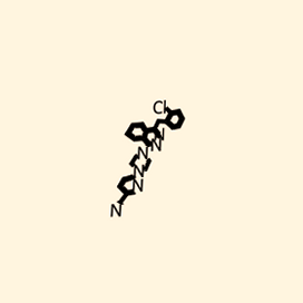 N#Cc1ccc(N2CCN(c3nnc(Cc4ccccc4Cl)c4ccccc34)CC2)nc1